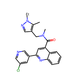 CCn1ncc(CN(C)C(=O)c2cc(-c3cncc(Cl)c3)nc3ccccc23)c1C